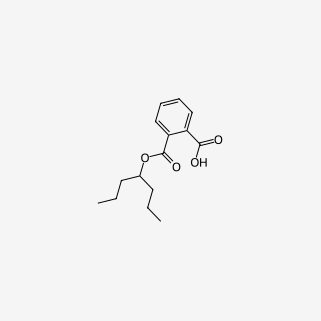 CCCC(CCC)OC(=O)c1ccccc1C(=O)O